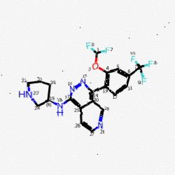 FC(F)Oc1cc(C(F)(F)F)ccc1-c1nnc(N[C@@H]2CCCNC2)c2ccncc12